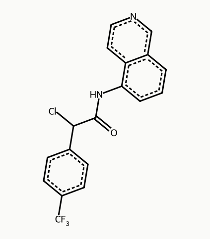 O=C(Nc1cccc2cnccc12)C(Cl)c1ccc(C(F)(F)F)cc1